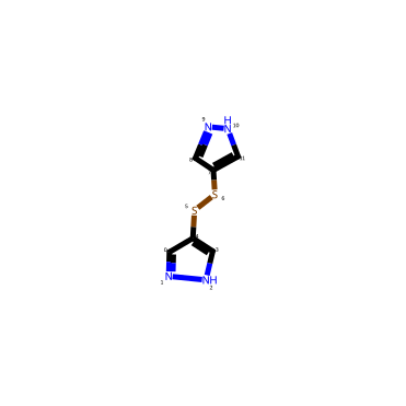 c1n[nH]cc1SSc1cn[nH]c1